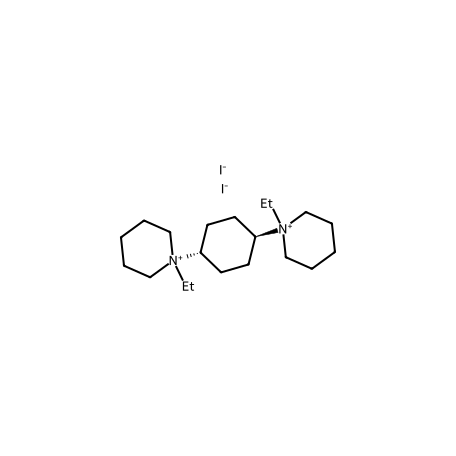 CC[N+]1([C@H]2CC[C@H]([N+]3(CC)CCCCC3)CC2)CCCCC1.[I-].[I-]